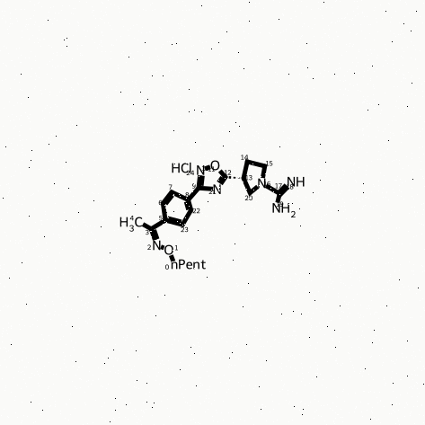 CCCCCO/N=C(/C)c1ccc(-c2noc([C@@H]3CCN(C(=N)N)C3)n2)cc1.Cl